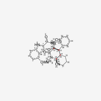 COc1cccc2[nH]c(C(=O)N(C)[C@@H](CC3CCCCC3)C(=O)N(C)[C@H](C#N)CC3C(=O)Nc4ccccc43)cc12